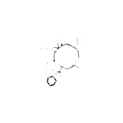 C/C1=C/CC(C(=O)Nc2ccccc2)OC(=O)C[C@H](O)C(C)(C)C(=O)[C@H](C)[C@@H](O)[C@@H](C)CCC1